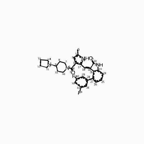 Cc1cc(C(=O)N2CCC(N3CCCC3)CC2)c(/C=C2\C(=O)Nc3cccc(-c4cc(F)cc(F)c4)c32)[nH]1